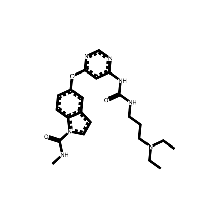 CCN(CC)CCCNC(=O)Nc1cc(Oc2ccc3c(ccn3C(=O)NC)c2)ncn1